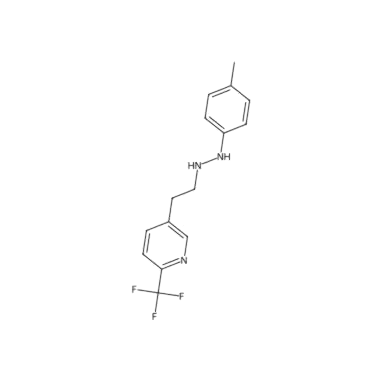 Cc1ccc(NNCCc2ccc(C(F)(F)F)nc2)cc1